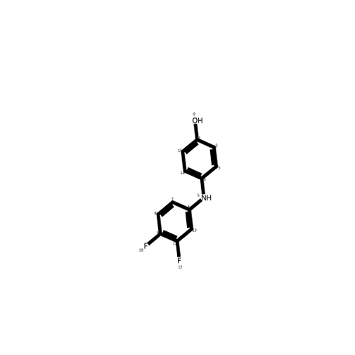 Oc1ccc(Nc2ccc(F)c(F)c2)cc1